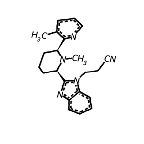 Cc1cccnc1[C@@H]1CCC[C@H](c2nc3ccccc3n2CCC#N)N1C